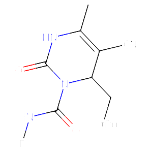 CCNC(=O)N1C(=O)NC(C)=C(C#N)C1CC(C)(C)C